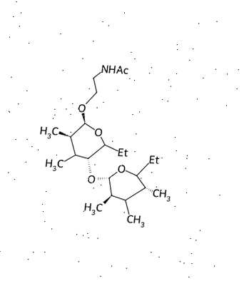 CCC1O[C@@H](O[C@H]2C(CC)O[C@H](OCCNC(C)=O)[C@H](C)C2C)[C@H](C)C(C)[C@H]1C